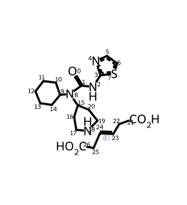 O=C(Nc1nccs1)N(C1CCCCC1)C1CCNCC1.O=C(O)C/C=C/CC(=O)O